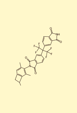 Cc1cc2c(c(C)c1N1C(=O)c3ccc(C(c4ccc5c(c4)C(=O)NC5=O)(C(F)(F)F)C(F)(F)F)cc3C1=O)C(C)C2